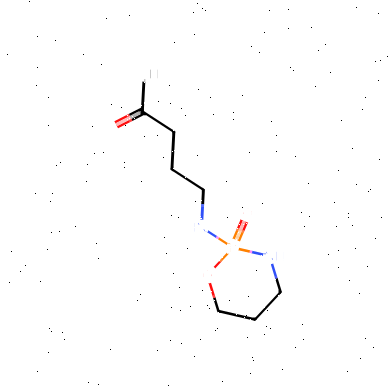 CC(=O)CCCNP1(=O)NCCCO1